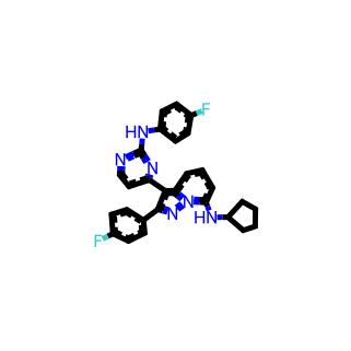 Fc1ccc(Nc2nccc(-c3c(-c4ccc(F)cc4)nn4c(NC5CCCC5)cccc34)n2)cc1